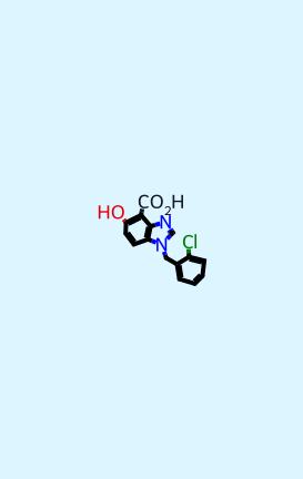 O=C(O)c1c(O)ccc2c1ncn2Cc1ccccc1Cl